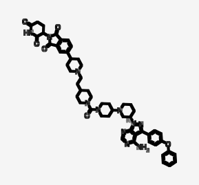 Nc1ncnc2c1c(-c1ccc(Oc3ccccc3)cc1)nn2[C@@H]1CCCN(C2CCN(C(=O)N3CCC(CCN4CCC(c5ccc6c(c5)C(=O)N(C5CCC(=O)NC5=O)C6=O)CC4)CC3)CC2)C1